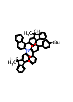 CC(C)(C)c1ccc(-c2ccc(N(c3ccc4c(c3)C(C)(C)c3ccccc3-4)c3ccc4ccccc4c3-c3ccc4c(c3)C(C)(C)c3ccccc3-4)c(-c3ccccc3)c2)cc1